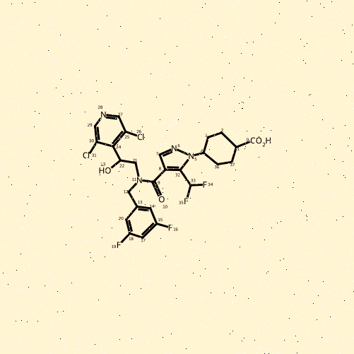 O=C(O)C1CCC(n2ncc(C(=O)N(Cc3cc(F)cc(F)c3)CC(O)c3c(Cl)cncc3Cl)c2C(F)F)CC1